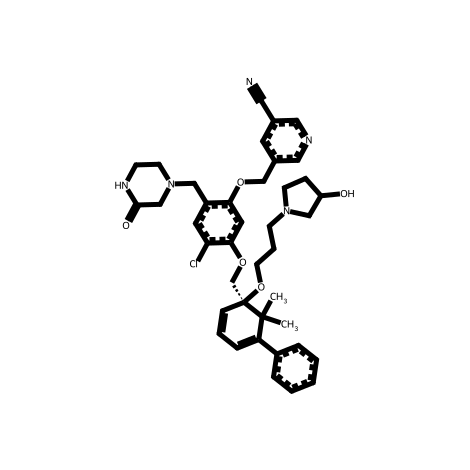 CC1(C)C(c2ccccc2)=CC=C[C@@]1(COc1cc(OCc2cncc(C#N)c2)c(CN2CCNC(=O)C2)cc1Cl)OCCCN1CCC(O)C1